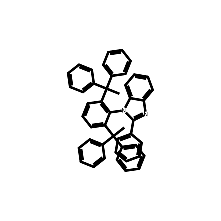 CC(c1ccccc1)(c1ccccc1)c1cccc(C(C)(c2ccccc2)c2ccccc2)c1-n1c(-c2ccccc2)nc2ccccc21